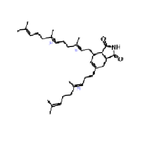 CC(C)=CCC/C(C)=C/CCC1=CC(C/C=C(\C)CC/C=C(\C)CCC=C(C)C)C2C(=O)NC(=O)C2C1